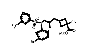 COC(=O)C1(C#N)CC(CC2CN(S(=O)(=O)c3cccc(C(F)(F)F)c3)c3cc(Br)ccc3O2)C1